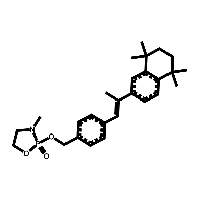 CC(=Cc1ccc(COP2(=O)OCCN2C)cc1)c1ccc2c(c1)C(C)(C)CCC2(C)C